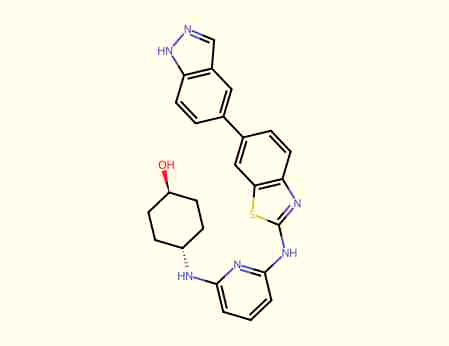 O[C@H]1CC[C@H](Nc2cccc(Nc3nc4ccc(-c5ccc6[nH]ncc6c5)cc4s3)n2)CC1